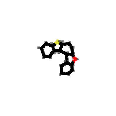 c1ccc2c(c1)oc1ccc3sc4ccccc4c3c12